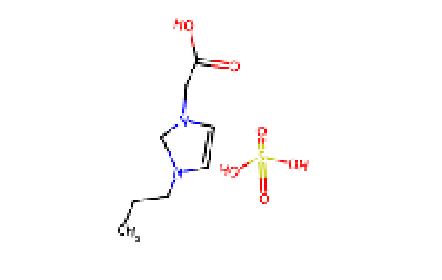 CCCN1C=CN(CC(=O)O)C1.O=S(=O)(O)O